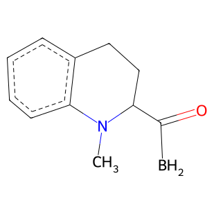 BC(=O)C1CCc2ccccc2N1C